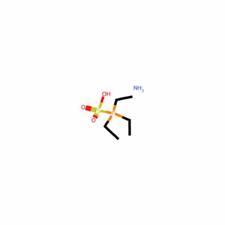 CC[P](CC)(CC)S(=O)(=O)O.N